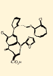 O=C(O)c1cn(-c2ncco2)c2cc(N3CCC[C@@H]3COc3ncccc3Cl)c(Cl)cc2c1=O